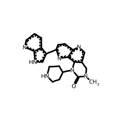 CN1Cc2cnc3ccc(-c4c[nH]c5ncccc45)nc3c2N(C2CCNCC2)C1=O